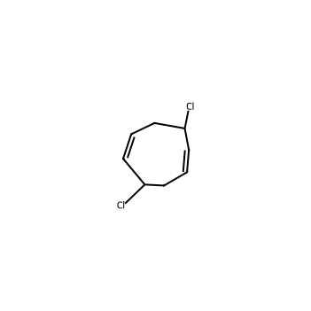 ClC1C=CCC(Cl)C=CC1